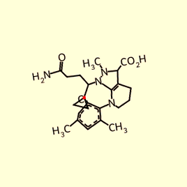 Cc1cc(C)c(N2CCCC3=C2N(C(CCC(N)=O)C2CC2)N(C)C3C(=O)O)c(Cl)c1